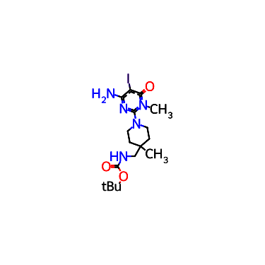 Cn1c(N2CCC(C)(CNC(=O)OC(C)(C)C)CC2)nc(N)c(I)c1=O